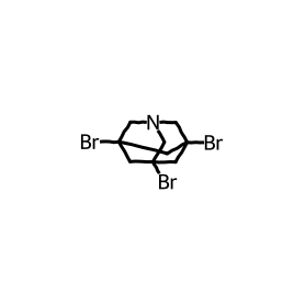 BrC12CN3CC(Br)(C1)CC(Br)(C3)C2